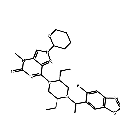 CC[C@H]1CN(C(C)c2cc3sc(C)nc3cc2F)[C@H](CC)CN1c1nc(=O)n(C)c2cn(C3CCCCO3)nc12